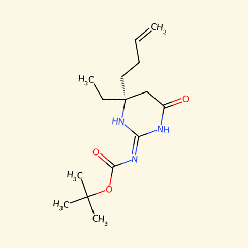 C=CCC[C@]1(CC)CC(=O)N/C(=N/C(=O)OC(C)(C)C)N1